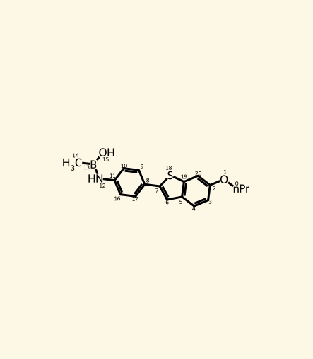 CCCOc1ccc2cc(-c3ccc(NB(C)O)cc3)sc2c1